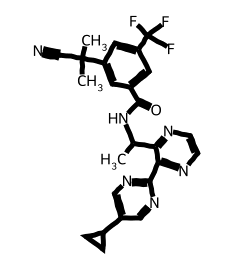 CC(NC(=O)c1cc(C(F)(F)F)cc(C(C)(C)C#N)c1)c1nccnc1-c1ncc(C2CC2)cn1